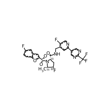 C[C@H]1[C@H](F)C[C@@H](C(=O)NCc2cc(-c3cnc(C(F)(F)F)nc3)ncc2F)N1S(=O)(=O)c1cc2cc(F)ccc2o1